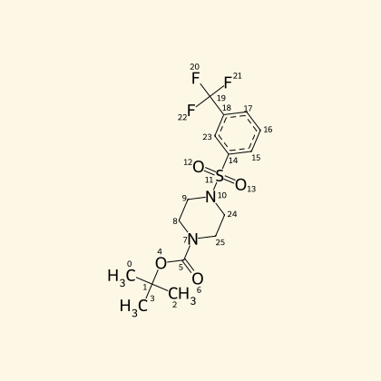 CC(C)(C)OC(=O)N1CCN(S(=O)(=O)c2cccc(C(F)(F)F)c2)CC1